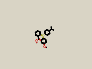 COC(=O)c1ccccc1[S+](c1ccc(OC)cc1)c1ccc(C(C)C)cc1